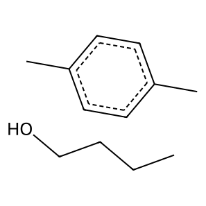 CCCCO.Cc1ccc(C)cc1